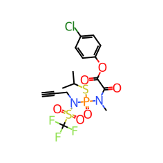 C#CCN(P(=O)(SC(C)C)N(C)C(=O)C(=O)Oc1ccc(Cl)cc1)S(=O)(=O)C(F)(F)F